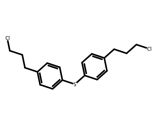 ClCCCc1ccc(Sc2ccc(CCCCl)cc2)cc1